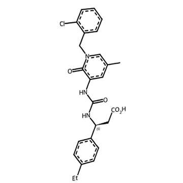 CCc1ccc([C@H](CC(=O)O)NC(=O)Nc2cc(C)cn(Cc3ccccc3Cl)c2=O)cc1